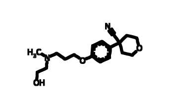 CN(CCO)CCCOc1ccc(C2(C#N)CCOCC2)cc1